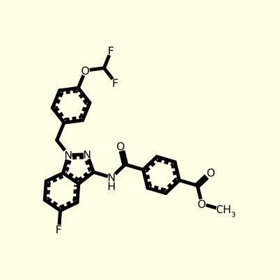 COC(=O)c1ccc(C(=O)Nc2nn(Cc3ccc(OC(F)F)cc3)c3ccc(F)cc23)cc1